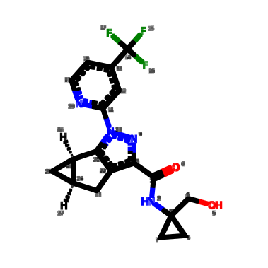 O=C(NC1(CO)CC1)c1nn(-c2cc(C(F)(F)F)ccn2)c2c1C[C@H]1C[C@@H]21